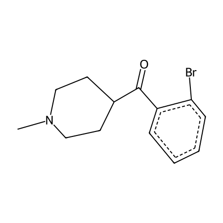 CN1CCC(C(=O)c2ccccc2Br)CC1